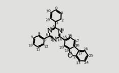 C1=CCC(c2nc(-c3ccccc3)nc(-c3ccc4c(c3)oc3ccccc34)n2)C=C1